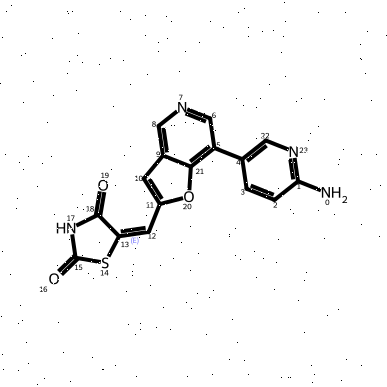 Nc1ccc(-c2cncc3cc(/C=C4/SC(=O)NC4=O)oc23)cn1